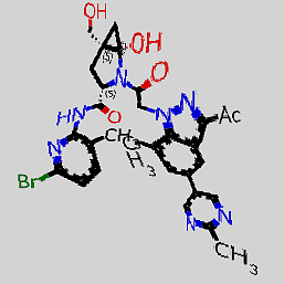 CC(=O)c1nn(CC(=O)N2[C@H](C(=O)Nc3nc(Br)ccc3C)C[C@@]3(CO)C[C@@]23O)c2c(C)cc(-c3cnc(C)nc3)cc12